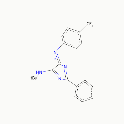 CC(C)(C)NC1=NC(c2ccccc2)=N/C1=N\c1ccc(C(F)(F)F)cc1